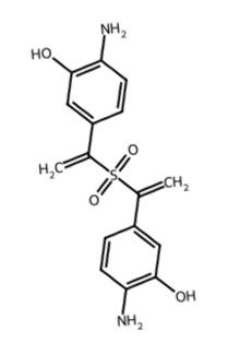 C=C(c1ccc(N)c(O)c1)S(=O)(=O)C(=C)c1ccc(N)c(O)c1